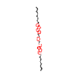 CCCCCCCCOOOOCCOCCOOOOCCCCCCCC